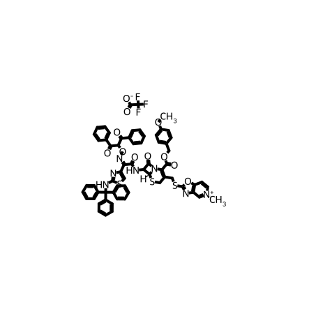 COc1ccc(COC(=O)C2=C(CSc3nc4c[n+](C)ccc4o3)CS[C@H]3C(NC(=O)/C(=N\OC(C(=O)c4ccccc4)C(=O)c4ccccc4)c4csc(NC(c5ccccc5)(c5ccccc5)c5ccccc5)n4)C(=O)N23)cc1.O=C([O-])C(F)(F)F